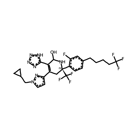 OC1N[C@@](c2ccc(CCCCC(F)(F)F)cc2F)(C(F)(F)F)CC(c2ccn(CC3CC3)n2)=C1c1nnn[nH]1